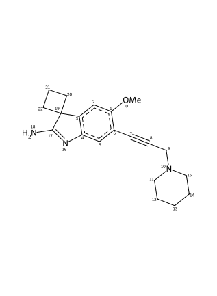 COc1cc2c(cc1C#CCN1CCCCC1)N=C(N)C21CCC1